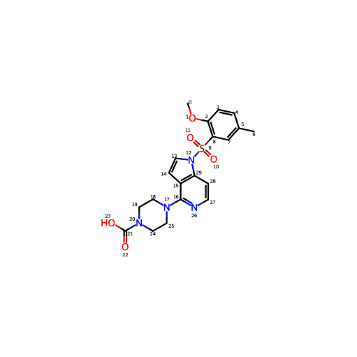 COc1ccc(C)cc1S(=O)(=O)n1ccc2c(N3CCN(C(=O)O)CC3)nccc21